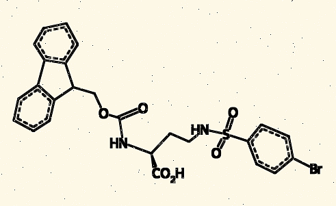 O=C(N[C@@H](CCNS(=O)(=O)c1ccc(Br)cc1)C(=O)O)OCC1c2ccccc2-c2ccccc21